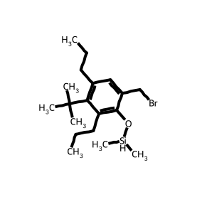 CCCc1cc(CBr)c(O[SiH](C)C)c(CCC)c1C(C)(C)C